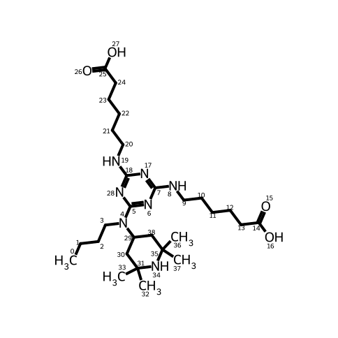 CCCCN(c1nc(NCCCCCC(=O)O)nc(NCCCCCC(=O)O)n1)C1CC(C)(C)NC(C)(C)C1